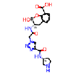 O=C(Cn1cc(C(=O)N[C@@H]2CCNC2)nn1)N[C@H]1Cc2cccc(C(=O)O)c2OB1O